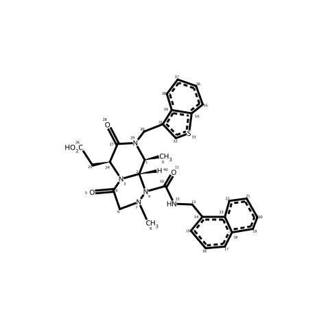 C[C@H]1[C@H]2N(C(=O)CN(C)N2C(=O)NCc2cccc3ccccc23)[C@@H](CC(=O)O)C(=O)N1Cc1csc2ccccc12